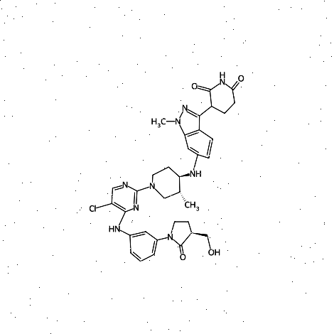 C[C@@H]1CN(c2ncc(Cl)c(Nc3cccc(N4CC[C@@H](CO)C4=O)c3)n2)CC[C@H]1Nc1ccc2c(C3CCC(=O)NC3=O)nn(C)c2c1